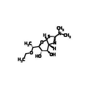 CCO[C@H](C)[C@H]1O[C@@H]2SC(N(C)C)=N[C@@H]2[C@@H](O)[C@@H]1O